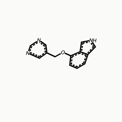 c1cc(OCc2cncnc2)c2c[nH]cc2c1